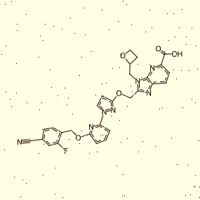 N#Cc1ccc(COc2cccc(-n3ccc(OCc4nc5ccc(C(=O)O)nc5n4CC4CCO4)n3)n2)c(F)c1